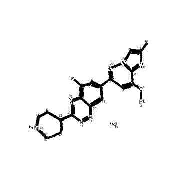 CCOc1cc(-c2cc(F)c3nc(C4CCNCC4)nnc3c2)nn2cc(C)nc12.Cl